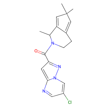 CC1C2=CC(C)(C)C=C2CCN1C(=O)c1cc2ncc(Cl)cn2n1